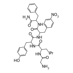 CC(C)CC(NC(=O)CN)C(=O)NC(Cc1ccc(O)cc1)C(=O)NC(Cc1ccc([N+](=O)[O-])cc1)C(=O)NC(Cc1ccccc1)C(N)=O